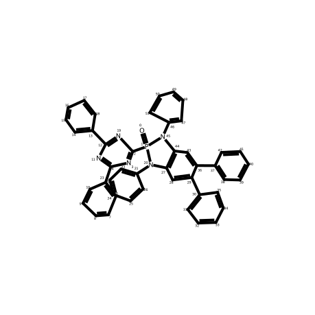 O=P1(c2nc(-c3ccccc3)nc(-c3ccccc3)n2)N(c2ccccc2)c2cc(-c3ccccc3)c(-c3ccccc3)cc2N1c1ccccc1